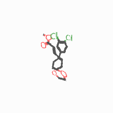 COC(=O)/C=C/C1(c2ccc(Cl)c(Cl)c2)CCC2(CC1)OCCO2